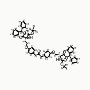 CC(C)(C)OC(=O)N[C@H](CCOc1ccc(CC(=O)Cc2ccc(OCC[C@@H](NC(=O)OC(C)(C)C)C(=O)OC(c3ccccc3)c3ccccc3)cc2)cc1)C(=O)OC(c1ccccc1)c1ccccc1